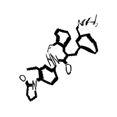 Cc1cc(NC(=O)C(Cc2cccc(CN)c2)c2ccccc2F)ccc1N1CCCC1=O